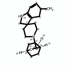 CC1C=CC2=C(C1)C1(CCN([C@@H]3C[C@H]4CC[C@@H]3CC4)CC1)CN2